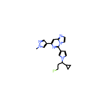 Cn1cc(-c2cc3nccn3c(-c3ccn(C(CCF)C4CC4)c3)n2)cn1